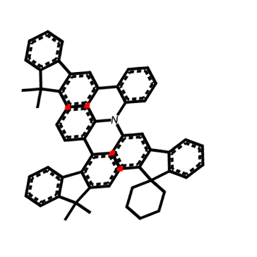 CC1(C)c2ccccc2-c2cc(-c3ccccc3N(c3ccc4c(c3)-c3ccccc3C43CCCCC3)c3ccccc3-c3cccc4c3-c3ccccc3C4(C)C)ccc21